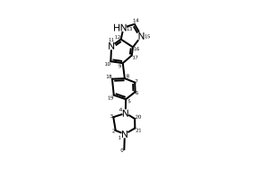 CN1CCN(c2ccc(-c3cnc4[nH]cnc4c3)cc2)CC1